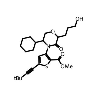 COC(=O)c1sc(C#CC(C)(C)C)cc1N1C(=O)C(CCCO)OCC1C1CCCCC1